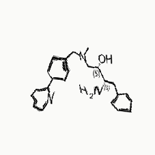 CN(Cc1ccc(-c2ccccn2)cc1)C[C@H](O)[C@@H](N)Cc1ccccc1